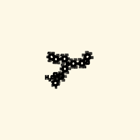 CC1(C)c2ccccc2-c2ccc(-c3ccc(N(c4ccc(-c5ccc6oc7ccccc7c6c5)cc4)c4cccc(-c5ccc6ccccc6c5)c4)cc3)cc21